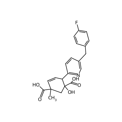 CC1(C(=O)O)C=CC(c2ccc(Cc3ccc(F)cc3)cn2)C(O)(C(=O)O)C1